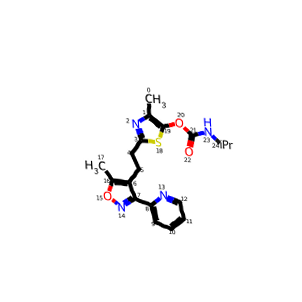 Cc1nc(CCc2c(-c3ccccn3)noc2C)sc1OC(=O)NC(C)C